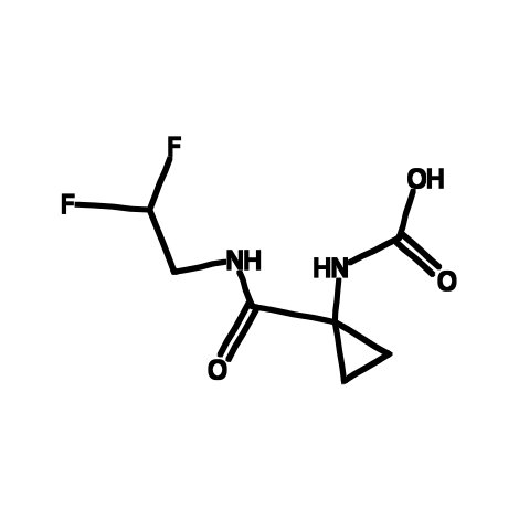 O=C(O)NC1(C(=O)NCC(F)F)CC1